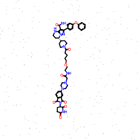 NC(=O)c1c(-c2ccc(Oc3ccccc3)cc2)nn2c1NCC[C@H]2C1CCN(C(=O)CCCCOCCNC(=O)CN2CCN(c3ccc4c(c3)C(=O)N(C3CCC(=O)NC3=O)C4=O)CC2)CC1